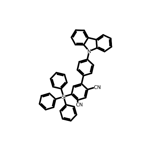 N#Cc1cc(C#N)c([Si](c2ccccc2)(c2ccccc2)c2ccccc2)cc1-c1ccc(-n2c3ccccc3c3ccccc32)cc1